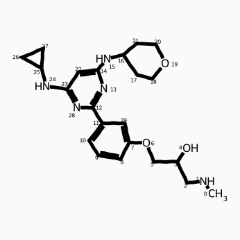 CNCC(O)COc1cccc(-c2nc(NC3CCOCC3)cc(NC3CC3)n2)c1